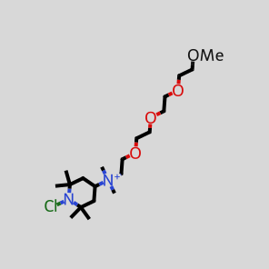 COCCOCCOCCOCC[N+](C)(C)C1CC(C)(C)N(Cl)C(C)(C)C1